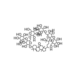 CC(CCC(OC1OC(COC2OC(CO)C(O)C(O)C2O)C(O)C(O)C1OC1OC(CO)C(O)C(O)C1O)C(C)(C)O)C1CCC2(C)C3CC=C4C(CCC(OC5OC(COC6OC(CO)C(O)C(O)C6O)C(OC6OC(CO)C(O)C(O)C6O)C(O)C5O)C4(C)C)C3(C)C(=O)CC12C